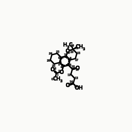 CC(=O)Oc1c2c(c3c(c1C(=O)CCC(=O)O)CCC(C)(C)O3)CCCC2